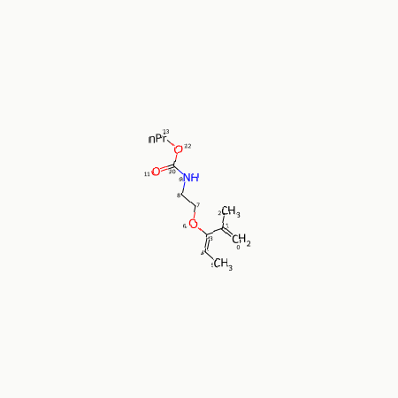 C=C(C)C(=CC)OCCNC(=O)OCCC